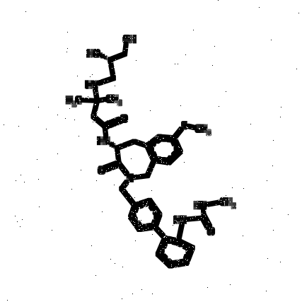 CNC(=O)Nc1ccccc1-c1ccc(CN2Cc3ccc(SC)cc3C[C@@H](NC(=O)CC(C)(C)NC[C@H](O)CO)C2=O)cc1